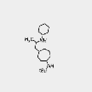 CC(CC1CCCC(NC(C)(C)C)CC1)NC1CCCCC1